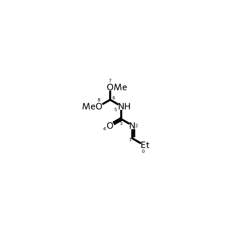 CCC=NC(=O)NC(OC)OC